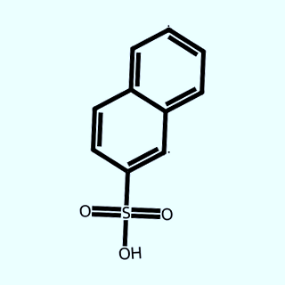 O=S(=O)(O)c1[c]c2cc[c]cc2cc1